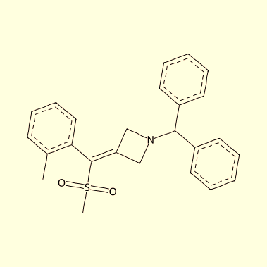 Cc1ccccc1C(=C1CN(C(c2ccccc2)c2ccccc2)C1)S(C)(=O)=O